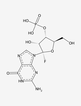 Nc1nc2c(ncn2[C@]2(F)O[C@H](CO)[C@@H](OP(=O)(O)O)[C@H]2O)c(=O)[nH]1